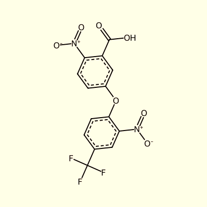 O=C(O)c1cc(Oc2ccc(C(F)(F)F)cc2[N+](=O)[O-])ccc1[N+](=O)[O-]